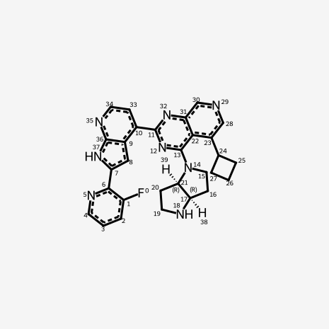 Fc1cccnc1-c1cc2c(-c3nc(N4CC[C@H]5NCC[C@H]54)c4c(C5CCC5)cncc4n3)ccnc2[nH]1